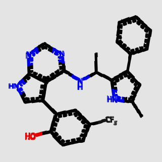 Cc1cc(-c2ccccc2)c(C(C)Nc2ncnc3[nH]cc(-c4cc(C(F)(F)F)ccc4O)c23)[nH]1